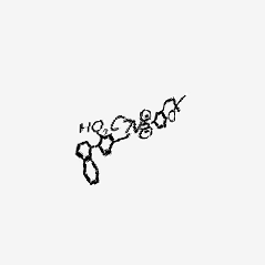 Cc1cc(CN(CC(=O)O)S(=O)(=O)c2ccc3c(c2)CCC(C)(C)O3)ccc1-c1cccc2ccccc12